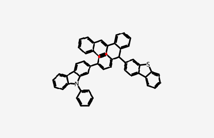 c1ccc(-n2c3ccccc3c3ccc(-c4ccc(C(c5ccc6c(c5)sc5ccccc56)c5ccccc5-c5ccc6ccccc6c5)cc4)cc32)cc1